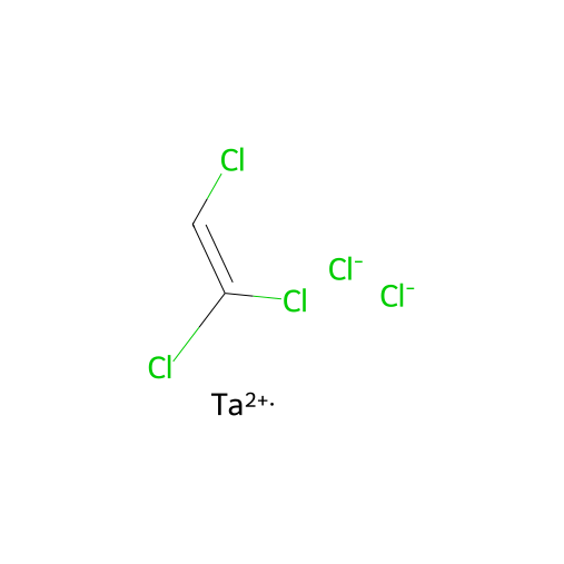 ClC=C(Cl)Cl.[Cl-].[Cl-].[Ta+2]